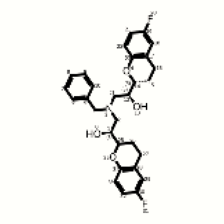 O[C@@H](CN(Cc1ccccc1)C[C@H](O)[C@H]1CCc2cc(F)ccc2O1)C1CCc2cc(F)ccc2O1